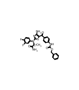 C[C@H](C(N)=O)N(c1ccc(F)c(F)c1)c1nc(N)c(C(=O)c2ccc(NC(=O)OCc3ccccc3)cc2)s1